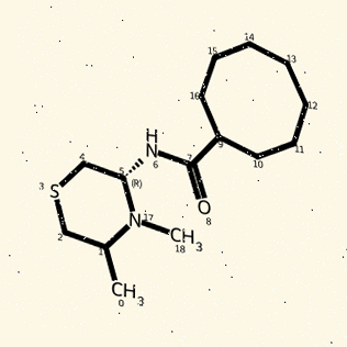 CC1CSC[C@H](NC(=O)C2CCCCCCC2)N1C